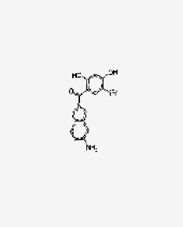 CC(C)c1cc(C(=O)n2cc3ccc(N)cc3c2)c(O)cc1O